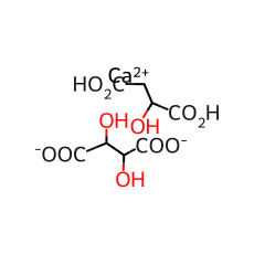 O=C(O)CC(O)C(=O)O.O=C([O-])C(O)C(O)C(=O)[O-].[Ca+2]